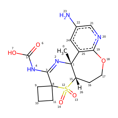 C[C@]12N=C(NC(=O)O)C3(CCC3)S(=O)(=O)[C@H]1CCOc1ncc(N)cc12